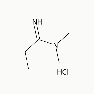 CCC(=N)N(C)C.Cl